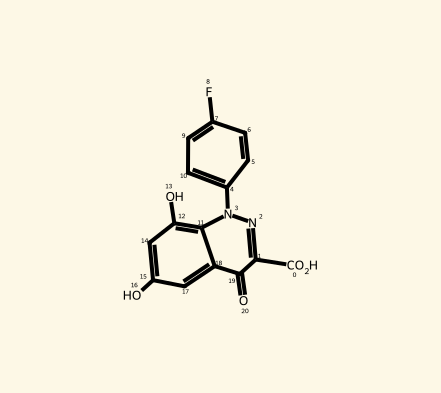 O=C(O)c1nn(-c2ccc(F)cc2)c2c(O)cc(O)cc2c1=O